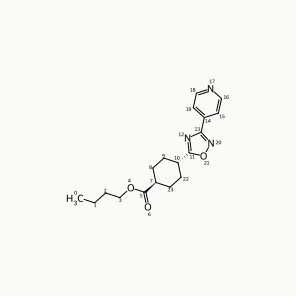 CCCCOC(=O)[C@H]1CC[C@H](c2nc(-c3ccncc3)no2)CC1